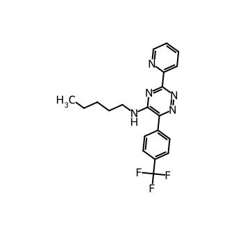 CCCCCNc1nc(-c2ccccn2)nnc1-c1ccc(C(F)(F)F)cc1